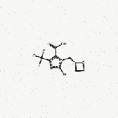 O=C(O)c1c(C(F)(F)F)nc(Br)n1C[C@@H]1CCO1